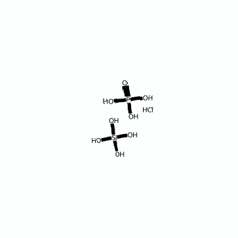 Cl.O=P(O)(O)O.O[Si](O)(O)O